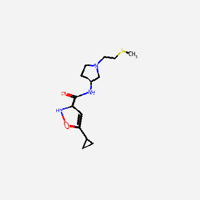 CSCCN1CCC(NC(=O)C2C=C(C3CC3)ON2)C1